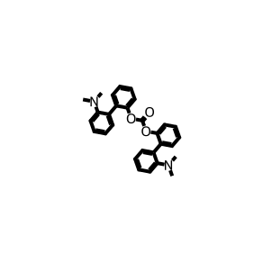 CN(C)c1ccccc1-c1ccccc1OC(=O)Oc1ccccc1-c1ccccc1N(C)C